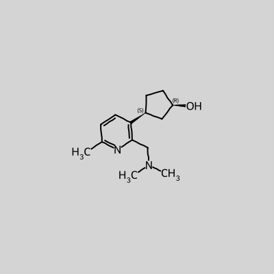 Cc1ccc([C@H]2CC[C@@H](O)C2)c(CN(C)C)n1